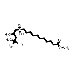 COC(=O)CCCCCCCCCCP(=O)(O)CC(C)CC(C)(C)C